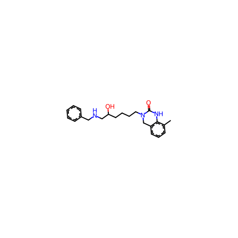 Cc1cccc2c1NC(=O)N(CCCCC(O)CNCc1ccccc1)C2